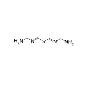 NCN=CSC=NCN